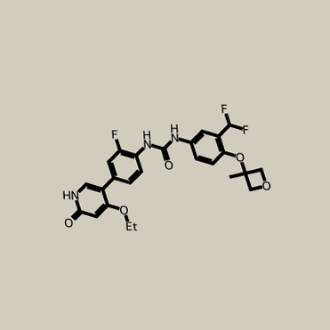 CCOc1cc(=O)[nH]cc1-c1ccc(NC(=O)Nc2ccc(OC3(C)COC3)c(C(F)F)c2)c(F)c1